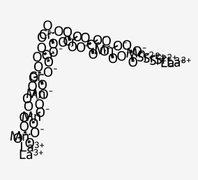 [La+3].[La+3].[La+3].[La+3].[O]=[Cr](=[O])([O-])[O-].[O]=[Cr](=[O])([O-])[O-].[O]=[Cr](=[O])([O-])[O-].[O]=[Cr](=[O])([O-])[O-].[O]=[Cr](=[O])([O-])[O-].[O]=[Mn](=[O])([O-])[O-].[O]=[Mn](=[O])([O-])[O-].[O]=[Mn](=[O])([O-])[O-].[O]=[Mn](=[O])([O-])[O-].[O]=[Mn](=[O])([O-])[O-].[Sr+2].[Sr+2].[Sr+2].[Sr+2]